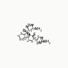 Nc1cc(S(=O)(=O)c2ccccc2-c2ccc(-c3cnc(N)nc3)c(F)c2)ncn1